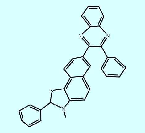 CN1c2ccc3cc(-c4nc5ccccc5nc4-c4ccccc4)ccc3c2SC1c1ccccc1